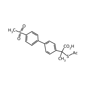 CC(=O)SC(C)(C(=O)O)c1ccc(-c2ccc(S(C)(=O)=O)cc2)cc1